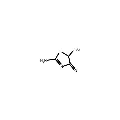 CCCCC1OC(N)=NC1=O